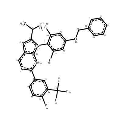 CC(C)c1nc2cnc(-c3ccc(F)c(C(F)(F)F)c3)nc2n1-c1c(F)cc(OCc2ccccc2)cc1F